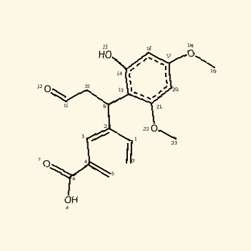 C=C/C(=C\C(=C)C(=O)O)C(CC=O)c1c(O)cc(OC)cc1OC